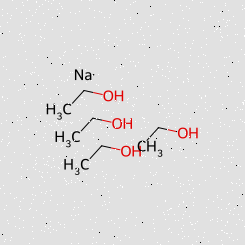 CCO.CCO.CCO.CCO.[Na]